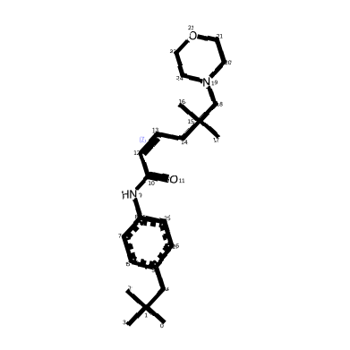 CC(C)(C)Cc1ccc(NC(=O)/C=C\CC(C)(C)CN2CCOCC2)cc1